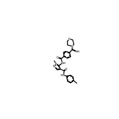 Cc1ccc(NC(=O)c2cnn(C)c2NC(=O)c2ccc(C(=N)N3CCOCC3)cc2)cc1